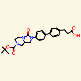 CC(C)(C)OC(=O)N1CCN2C(=O)N(c3ccc(-c4ccc(CCC(=O)O)cc4)cc3)CC2C1